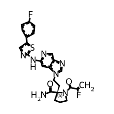 C=C(F)C(=O)N1CCC[C@]1(CCn1cnc2cnc(Nc3ncc(-c4ccc(F)cc4)s3)cc21)C(N)=O